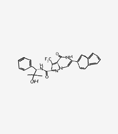 CC(C)(O)[C@@H](NC(=O)c1nn2cc(-c3ccc4ccccc4c3)[nH]c(=O)c2c1C(F)(F)F)c1ccccc1